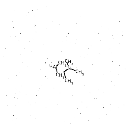 CCN(C)C.[CH3][AlH][CH3]